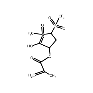 C=C(C)C(=O)OC1CC(S(=O)(=O)C(F)(F)F)S(=O)(C(F)(F)F)=C1O